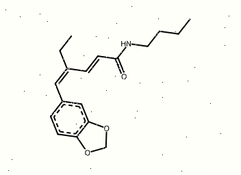 CCCCNC(=O)C=CC(=Cc1ccc2c(c1)OCO2)CC